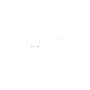 N#CCC[C@H]1CCNC1=O